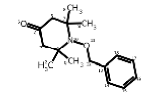 CC1(C)CC(=O)CC(C)(C)N1OCc1ccccc1